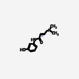 CN(C)C/C=C/C(=O)Nc1cccc(O)c1